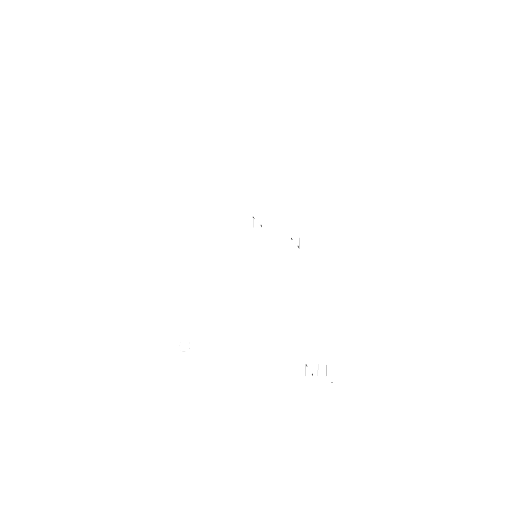 NCc1nn(-c2ccccc2)cc1-c1ccco1